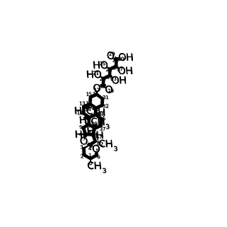 C[C@@H]1CC[C@@]2(OC1)O[C@H]1C[C@H]3[C@@H]4CC=C5C[C@@H](OC(=O)[C@H](O)[C@@H](O)[C@H](O)[C@H](O)C(=O)O)CC[C@]5(C)[C@H]4CC[C@]3(C)[C@H]1[C@@H]2C